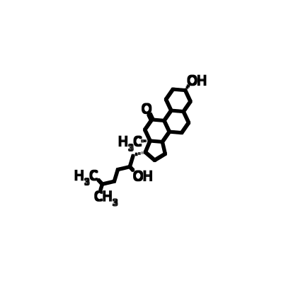 CC(C)CCC(O)C[C@H]1CCC2C3CCC4C[C@@H](O)CCC4C3C(=O)C[C@@]21C